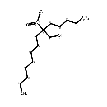 CCCCCCCCC(CO)(CCCCC)[N+](=O)[O-]